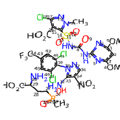 COc1cc(OC)nc(NC(=O)NS(=O)(=O)c2c(C(=O)O)c(Cl)nn2C)n1.CP(=O)(O)CCC(N)C(=O)O.Nc1c([N+](=O)[O-])cnn1-c1c(Cl)cc(C(F)(F)F)cc1Cl